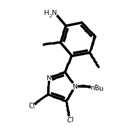 CCCCn1c(-c2c(C)ccc(N)c2C)nc(Cl)c1Cl